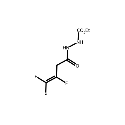 CCOC(=O)NNC(=O)CC(F)=C(F)F